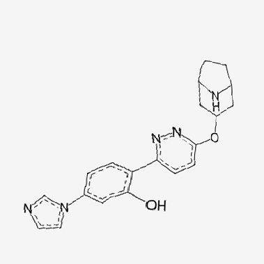 Oc1cc(-n2ccnc2)ccc1-c1ccc(OC2CC3CCC(C2)N3)nn1